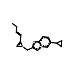 CC/C=C/C1=CN1Cc1cn2cc(C3CC3)ccc2n1